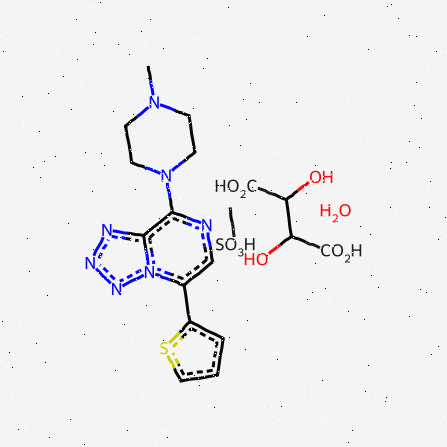 CN1CCN(c2ncc(-c3cccs3)n3nnnc23)CC1.CS(=O)(=O)O.O.O=C(O)C(O)C(O)C(=O)O